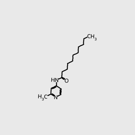 CCCCCCCCCCC(=O)Nc1ccnc(C)c1